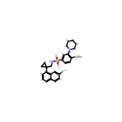 COc1ccc(S(=O)(=O)NCC2(c3cccc4ccc(F)cc34)CC2)cc1N1CCCCC1